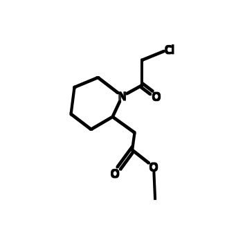 COC(=O)CC1CCCCN1C(=O)CCl